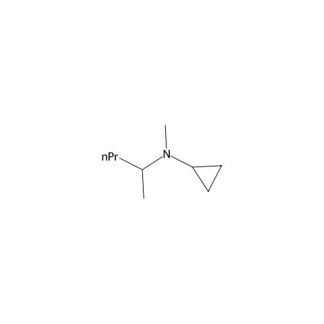 CCCC(C)N(C)C1CC1